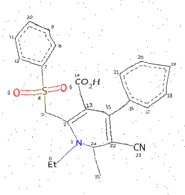 CCN1C(CS(=O)(=O)c2ccccc2)=C(C(=O)O)C(c2ccccc2)=C(C#N)C1C